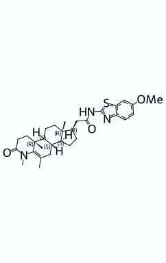 COc1ccc2nc(NC(=O)C[C@H]3CC[C@H]4[C@@H]5CC(C)=C6N(C)C(=O)CC[C@]6(C)[C@H]5CC[C@]34C)sc2c1